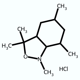 CC1CC(C)C2C(C1)C(C)(C)ON2C.Cl